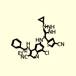 CC[C@@H](Nc1c(C#N)cnc2c(Cl)cc(N[C@H](C3=CN(C4CC4)NN3)c3cc(C#N)cs3)cc12)c1ccccc1